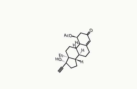 C#C[C@]1(O)CC[C@H]2[C@@H]3CCC4=CC(=O)C[C@H](OC(C)=O)[C@@H]4[C@H]3CC[C@@]21CC